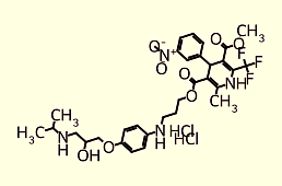 COC(=O)C1=C(C(F)(F)F)NC(C)=C(C(=O)OCCCNc2ccc(OCC(O)CNC(C)C)cc2)C1c1cccc([N+](=O)[O-])c1.Cl.Cl